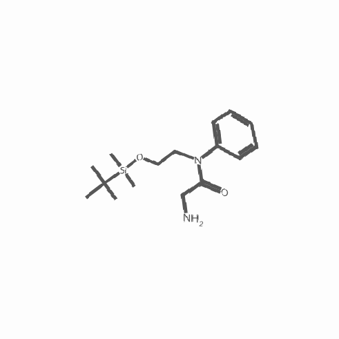 CC(C)(C)[Si](C)(C)OCCN(C(=O)CN)c1ccccc1